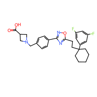 O=C(O)C1CN(Cc2ccc(-c3noc(CCC4(c5cc(F)cc(F)c5)CCCCC4)n3)cc2)C1